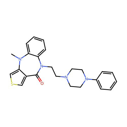 CN1c2cscc2C(=O)N(CCN2CCN(c3ccccc3)CC2)c2ccccc21